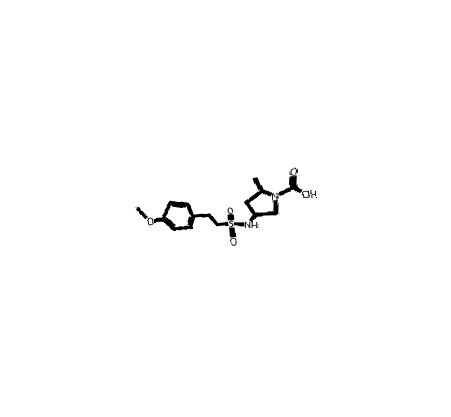 COc1ccc(CCS(=O)(=O)NC2CC(C)N(C(=O)O)C2)cc1